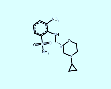 NS(=O)(=O)c1cccc([N+](=O)[O-])c1NC[C@H]1CN(C2CC2)CCO1